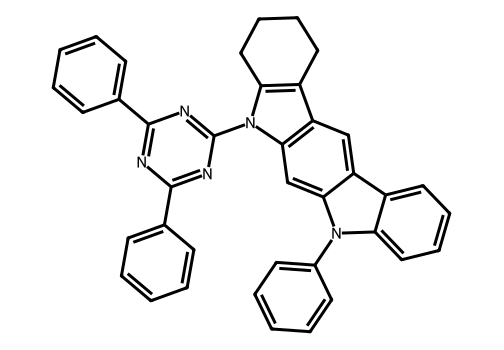 c1ccc(-c2nc(-c3ccccc3)nc(-n3c4c(c5cc6c7ccccc7n(-c7ccccc7)c6cc53)CCCC4)n2)cc1